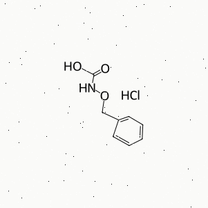 Cl.O=C(O)NOCc1ccccc1